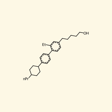 CCCC1CCC(c2ccc(-c3ccc(CCCCCO)cc3CC)cc2)CC1